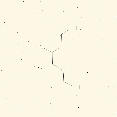 [CH2]COCC(N)OCC